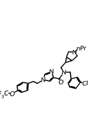 CCCN1CC2C(C1)C2CN(Cc1cccc(Cl)c1)C(=O)c1cn(CCc2ccc(OC(F)(F)F)cc2)cn1